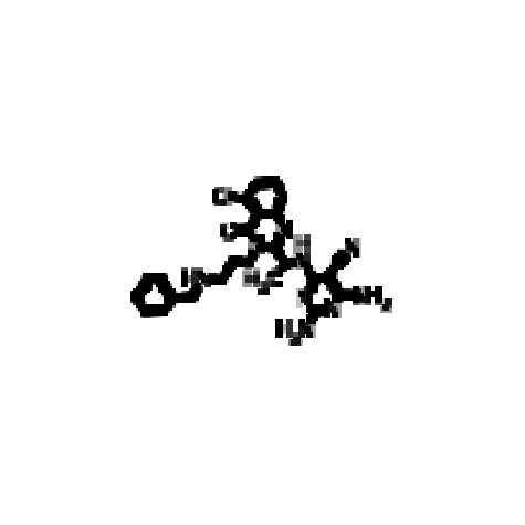 CC(Nc1nc(N)nc(N)c1C#N)c1nc2cccc(Cl)c2c(=O)n1CCCNCc1ccccc1